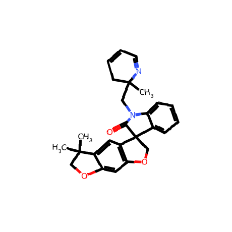 CC1(CN2C(=O)C3(COc4cc5c(cc43)C(C)(C)CO5)c3ccccc32)CC=CC=N1